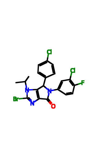 CC(C)n1c(Br)nc2c1C(c1ccc(Cl)cc1)N(c1ccc(F)c(Cl)c1)C2=O